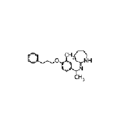 Cc1cc(C(C)N=C2CCCCCN2)ccc1OCCCc1ccccc1